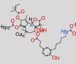 C/C=C(/C)C(=O)OC1C(C)=C2[C@@H]3OC(=O)[C@@](C)(O)[C@@]3(O)C(OC(=O)CCc3ccc(O)c(CCCCCNC(=O)OC(C)(C)C)c3)C[C@@]3(OC(C)=O)C[C@]23[C@@H]1OC(=O)CCCCCCC